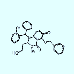 CC(C)N1C(=O)c2c(OCc3ccccc3)c(=O)ccn2N(C(c2ccccc2)c2ccccc2O)C1CCO